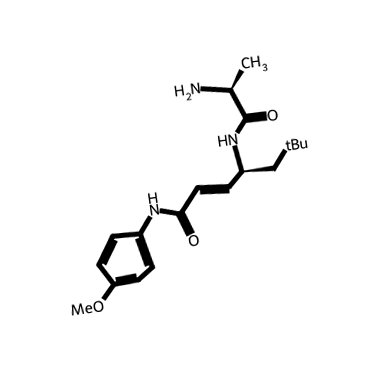 COc1ccc(NC(=O)C=C[C@H](CC(C)(C)C)NC(=O)[C@H](C)N)cc1